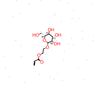 C=CC(=O)OCCOC1O[C@H](CO)[C@@H](O)[C@H](O)[C@H]1O